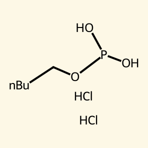 CCCCCOP(O)O.Cl.Cl